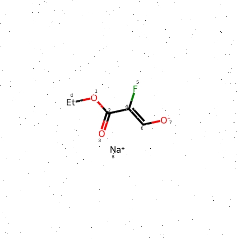 CCOC(=O)C(F)=C[O-].[Na+]